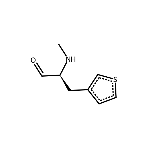 CN[C@H](C=O)Cc1ccsc1